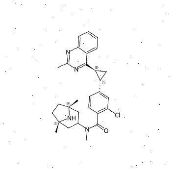 Cc1nc([C@H]2C[C@@H]2c2ccc(C(=O)N(C)C3C[C@]4(C)CC[C@](C)(C3)N4)c(Cl)c2)c2ccccc2n1